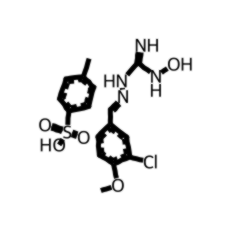 COc1ccc(C=NNC(=N)NO)cc1Cl.Cc1ccc(S(=O)(=O)O)cc1